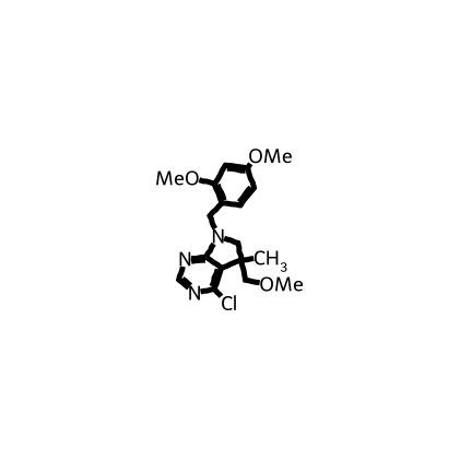 COCC1(C)CN(Cc2ccc(OC)cc2OC)c2ncnc(Cl)c21